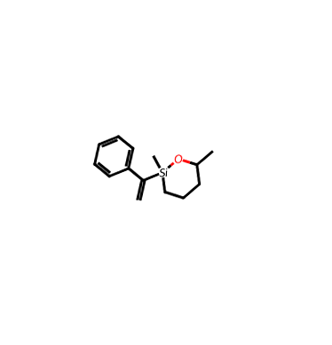 C=C(c1ccccc1)[Si]1(C)CCCC(C)O1